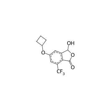 O=C1OC(O)c2cc(OC3CCC3)cc(C(F)(F)F)c21